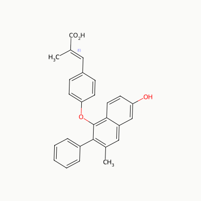 C/C(=C\c1ccc(Oc2c(-c3ccccc3)c(C)cc3cc(O)ccc23)cc1)C(=O)O